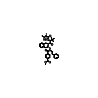 CN[C@@H](C)C(=O)NC(C(=O)N1Cc2ccccc2C[C@H]1CN(CCc1ccccc1)C(=O)c1ccc(C(=O)OC)cc1)C(C)(C)C